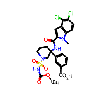 Cn1c(C(=O)NC2(c3cccc(C(=O)O)c3)CCCN(S(=O)(=O)NC(=O)OC(C)(C)C)C2)cc2c(Cl)c(Cl)ccc21